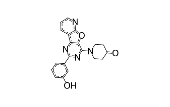 O=C1CCN(c2nc(-c3cccc(O)c3)nc3c2oc2ncccc23)CC1